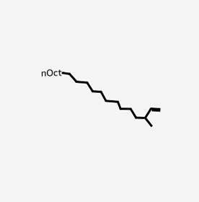 C=CC(C)CCCCCCCCCCCCCCCCCC